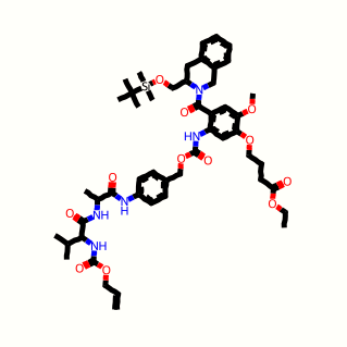 C=CCOC(=O)NC(C(=O)NC(C)C(=O)Nc1ccc(COC(=O)Nc2cc(OCCCC(=O)OCC)c(OC)cc2C(=O)N2Cc3ccccc3CC2CO[Si](C)(C)C(C)(C)C)cc1)C(C)C